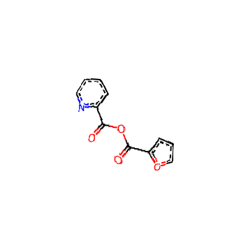 O=C(OC(=O)c1ccco1)c1ccccn1